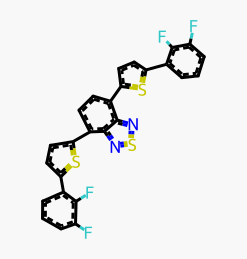 Fc1cccc(-c2ccc(-c3ccc(-c4ccc(-c5cccc(F)c5F)s4)c4nsnc34)s2)c1F